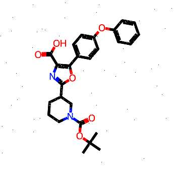 CC(C)(C)OC(=O)N1CCCC(c2nc(C(=O)O)c(-c3ccc(Oc4ccccc4)cc3)o2)C1